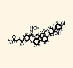 COC(=O)CCC(=O)N1CCC(C(=O)NCC(CCCN2CCC(O)(c3ccc(Cl)cc3)CC2)(c2ccccc2)c2ccccc2)CC1.Cl